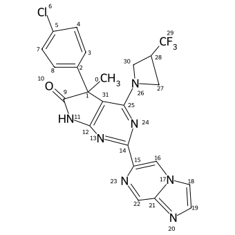 CC1(c2ccc(Cl)cc2)C(=O)Nc2nc(-c3cn4ccnc4cn3)nc(N3CC(C(F)(F)F)C3)c21